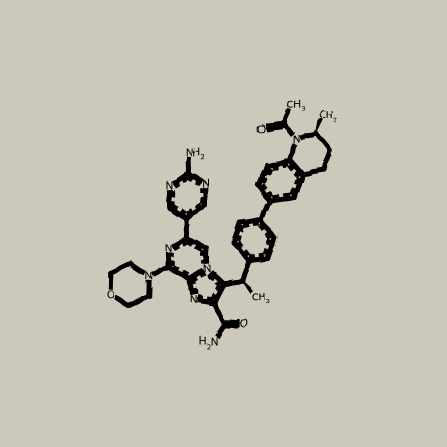 CC(=O)N1c2ccc(-c3ccc([C@@H](C)c4c(C(N)=O)nc5c(N6CCOCC6)nc(-c6cnc(N)nc6)cn45)cc3)cc2CC[C@@H]1C